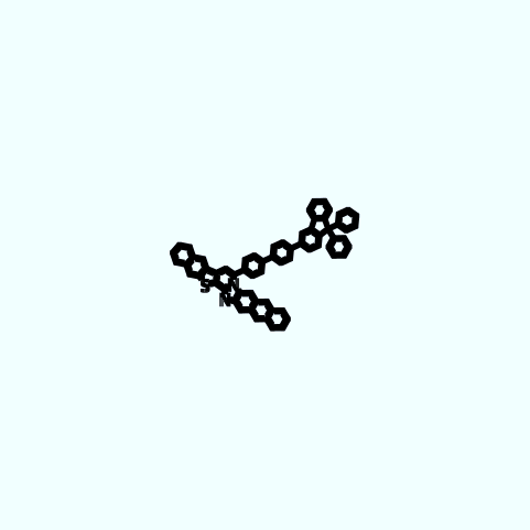 c1ccc(C2(c3ccccc3)c3ccccc3-c3cc(-c4ccc(-c5ccc(-c6cc7c8cc9ccccc9cc8sc7c7nc8cc9cc%10ccccc%10cc9cc8n67)cc5)cc4)ccc32)cc1